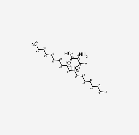 CC(O)C(N)C(=O)O.CCCCCCCCCCCCCCCCC[CH2][Na]